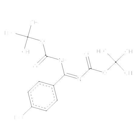 CC(C)(C)OC(=O)/N=C(\NC(=O)OC(C)(C)C)c1ccc(O)cc1